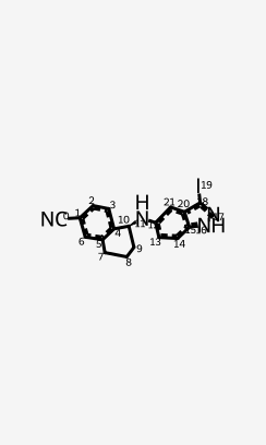 N#Cc1ccc2c(c1)CCC[C@@H]2Nc1ccc2[nH]nc(I)c2c1